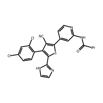 CC(C)C(=O)Nc1cc(-c2sc(-c3ncc[nH]3)c(-c3ccc(Cl)cc3Cl)c2C#N)ccn1